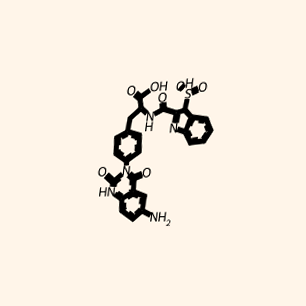 Nc1ccc2[nH]c(=O)n(-c3ccc(CC(NC(=O)C4=Nc5ccccc5C4[SH](=O)=O)C(=O)O)cc3)c(=O)c2c1